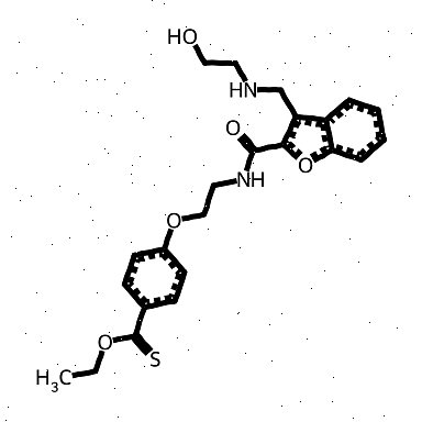 CCOC(=S)c1ccc(OCCNC(=O)c2oc3ccccc3c2CNCCO)cc1